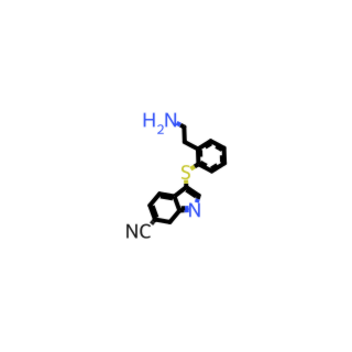 N#CC1=CC=C2C(Sc3ccccc3CCN)=CN=C2C1